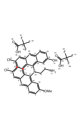 COc1ccc2nc3cc(Cl)ccc3c(N(CCN)c3c4ccc(Cl)cc4nc4ccc(O)cc34)c2c1.O=C(O)C(F)(F)F.O=C(O)C(F)(F)F